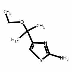 CC(C)(OCC(F)(F)F)c1csc(N)n1